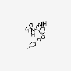 Cc1ccc([C@H]2C[C@@H](Oc3ccc4[nH]cc(NC(=O)C5(C)CC5)c4c3)C2)cc1